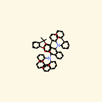 CC1(C)c2ccccc2-c2cc3c(N(c4ccccc4-c4ccccc4)c4ccccc4-c4ccccc4)c4ccccc4c(N(c4ccccc4-c4ccccc4)c4ccccc4-c4ccccc4)c3cc21